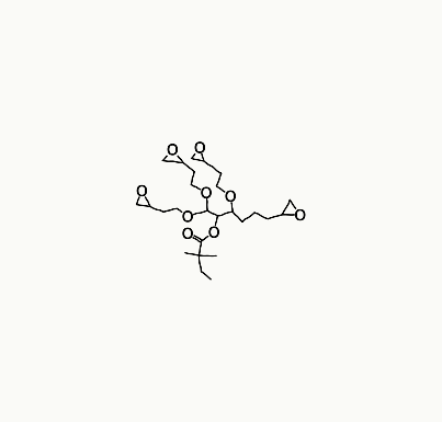 CCC(C)(C)C(=O)OC(C(CCCC1CO1)OCCC1CO1)C(OCCC1CO1)OCCC1CO1